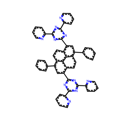 c1ccc(-c2cc(-c3nc(-c4ccccn4)nc(-c4ccccn4)n3)c3ccc4c(-c5ccccc5)cc(-c5nc(-c6ccccn6)nc(-c6ccccn6)n5)c5ccc2c3c45)cc1